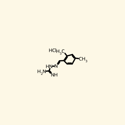 Cc1ccc(/C=N/NC(=N)N)c(C)c1.Cl